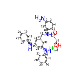 Cl.Nc1ccc(OCCO)c(NCc2cc(Nc3ccccc3)cc(Nc3ccccc3)c2)c1